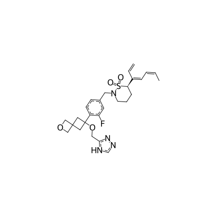 C=C/C(=C\C=C/C)[C@H]1CCCN(Cc2ccc(C3(OCc4nnc[nH]4)CC4(COC4)C3)c(F)c2)S1(=O)=O